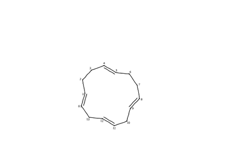 [C]1=C/CC/C=C/CC/C=C/C/C=C/C/1